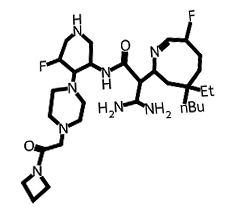 CCCCC1(CC)CCC(F)/C=N\C(C(C(=O)NC2CNCC(F)C2N2CCN(CC(=O)N3CCC3)CC2)C(N)N)C1